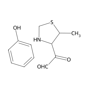 CC1SCNC1C(=O)C=O.Oc1ccccc1